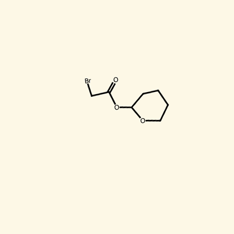 O=C(CBr)OC1CCCCO1